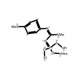 CCCCCCOP(=NC(=Nc1ccc(SC)cc1)SC)(OCC)SCCC